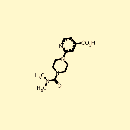 CN(C)C(=O)N1CCN(c2cc(C(=O)O)ccn2)CC1